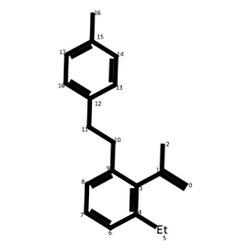 C=C(C)c1c(CC)cccc1CCc1ccc(C)cc1